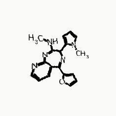 CNC1=Nc2ncccc2C(c2ccco2)=NC1c1cccn1C